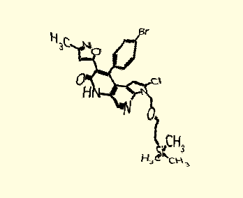 Cc1cc(-c2c(-c3ccc(Br)cc3)c3c(cnc4c3cc(Cl)n4COCC[Si](C)(C)C)[nH]c2=O)on1